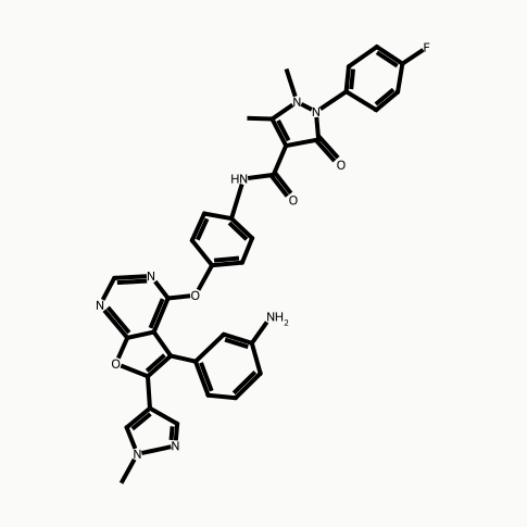 Cc1c(C(=O)Nc2ccc(Oc3ncnc4oc(-c5cnn(C)c5)c(-c5cccc(N)c5)c34)cc2)c(=O)n(-c2ccc(F)cc2)n1C